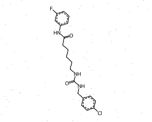 O=C(CCCCCNC(=O)NCc1ccc(Cl)cc1)Nc1cccc(F)c1